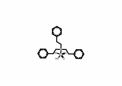 [O]=[Cr](=[O])([OH])([OH])[Si](CCc1ccccc1)(CCc1ccccc1)CCc1ccccc1